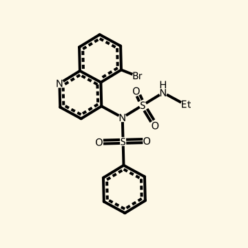 CCNS(=O)(=O)N(c1ccnc2cccc(Br)c12)S(=O)(=O)c1ccccc1